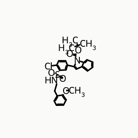 COc1ccccc1CCNS(=O)(=O)c1cc(-c2cc3ccccc3n2C(=O)OC(C)(C)C)ccc1Cl